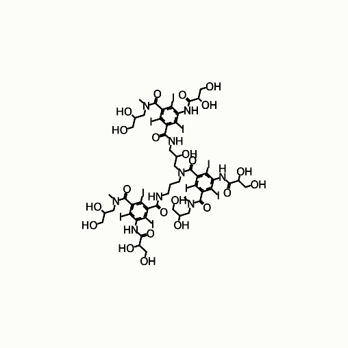 CN(CC(O)CO)C(=O)c1c(I)c(NC(=O)C(O)CO)c(I)c(C(=O)NCCCN(CC(O)CNC(=O)c2c(I)c(NC(=O)C(O)CO)c(I)c(C(=O)N(C)CC(O)CO)c2I)C(=O)c2c(I)c(NC(=O)C(O)CO)c(I)c(C(=O)N(C)CC(O)CO)c2I)c1I